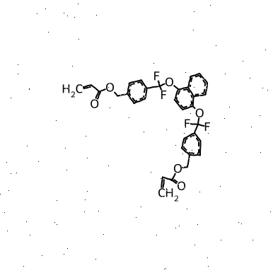 C=CC(=O)OCc1ccc(C(F)(F)Oc2ccc(OC(F)(F)c3ccc(COC(=O)C=C)cc3)c3ccccc23)cc1